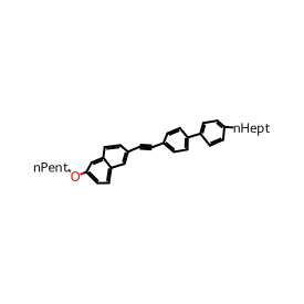 CCCCCCCc1ccc(-c2ccc(C#Cc3ccc4cc(OCCCCC)ccc4c3)cc2)cc1